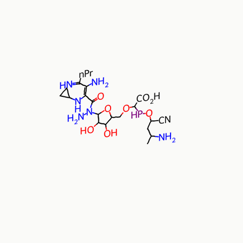 CCCC(=N)/C(N)=C(\NC1CC1)C(=O)N(N)C1OC(COC(POC(C#N)CC(C)N)C(=O)O)C(O)C1O